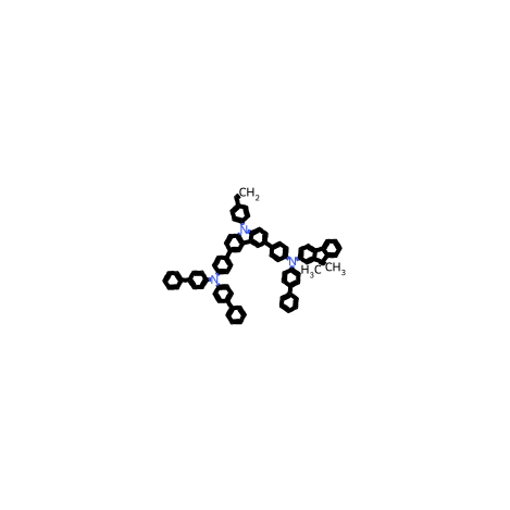 C=Cc1ccc(-n2c3ccc(-c4ccc(N(c5ccc(-c6ccccc6)cc5)c5ccc(-c6ccccc6)cc5)cc4)cc3c3cc(-c4ccc(N(c5ccc(-c6ccccc6)cc5)c5ccc6c(c5)C(C)(C)c5ccccc5-6)cc4)ccc32)cc1